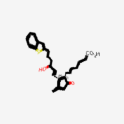 C=C1CC(=O)[C@H](CC=CCCCC(=O)O)[C@H]1C=CC(O)CCCc1cc2ccccc2s1